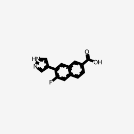 O=C(O)c1ccc2cc(F)c(-c3cn[nH]c3)cc2c1